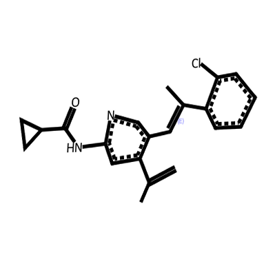 C=C(C)c1cc(NC(=O)C2CC2)ncc1/C=C(\C)c1ccccc1Cl